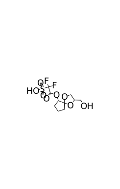 O=C(OC1CCCC12OCC(CO)O2)C(F)(F)S(=O)(=O)O